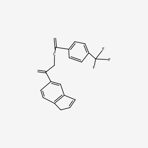 C=C(CCC(=C)c1ccc2c(c1)C=CC2)c1ccc(C(F)(F)F)cc1